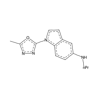 CCCNc1ccc2c(ccn2-c2nnc(C)o2)c1